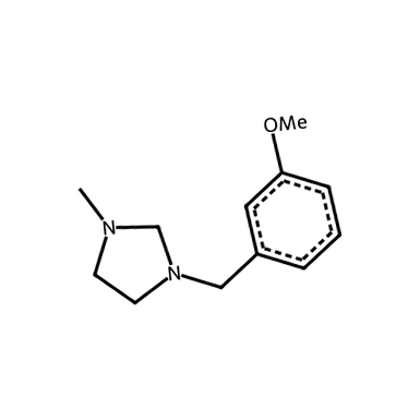 COc1cccc(CN2CCN(C)C2)c1